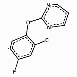 Fc1[c]cc(Oc2ncccn2)c(Cl)c1